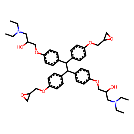 CCN(CC)CC(O)COc1ccc(C(c2ccc(OCC3CO3)cc2)C(c2ccc(OCC(O)CN(CC)CC)cc2)c2ccc(OCC3CO3)cc2)cc1